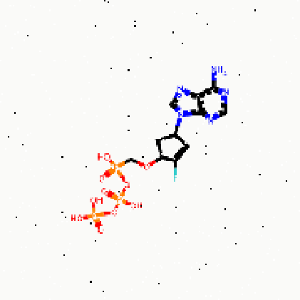 Nc1ncnc2c1ncn2C1C=C(F)C(OCP(=O)(O)OP(=O)(O)OP(=O)(O)O)C1